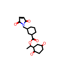 CC(OC(=O)C1CCCC(CN2C(=O)C=CC2=O)C1)C1CC(=O)CCC1=O